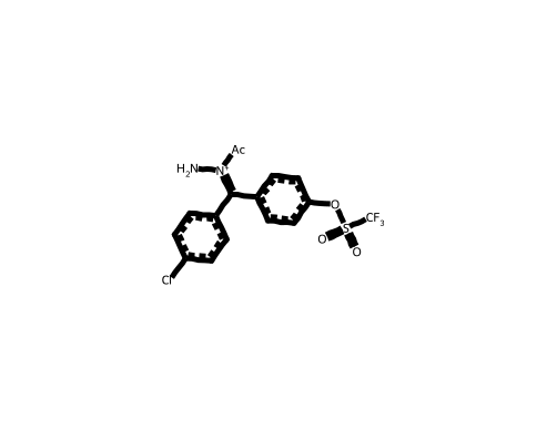 CC(=O)[N+](N)=C(c1ccc(Cl)cc1)c1ccc(OS(=O)(=O)C(F)(F)F)cc1